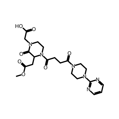 COC(=O)CC1C(=O)N(CC(=O)O)CCN1C(=O)CCC(=O)N1CCN(c2ncccn2)CC1